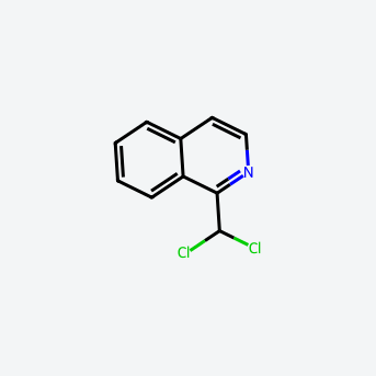 ClC(Cl)c1nccc2ccccc12